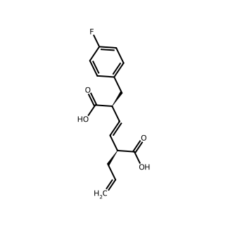 C=CC[C@@H](C=C[C@H](Cc1ccc(F)cc1)C(=O)O)C(=O)O